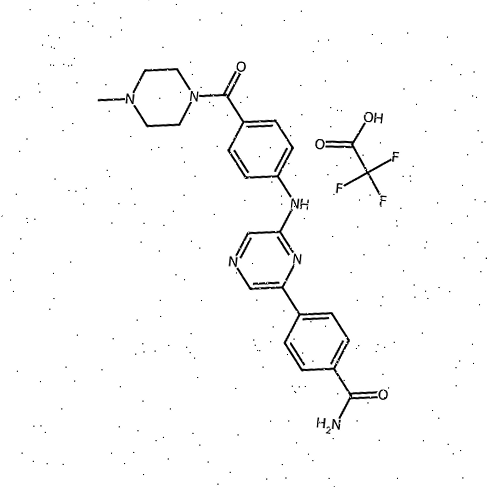 CN1CCN(C(=O)c2ccc(Nc3cncc(-c4ccc(C(N)=O)cc4)n3)cc2)CC1.O=C(O)C(F)(F)F